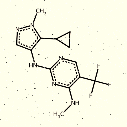 CNc1nc(Nc2cnn(C)c2C2CC2)ncc1C(F)(F)F